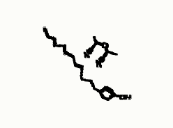 CC(C#N)OC(C)C#N.CCCCCCCCCCCCc1ccc(O)cc1